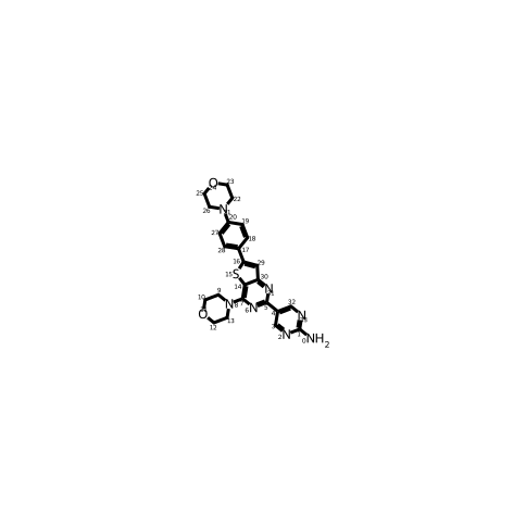 Nc1ncc(-c2nc(N3CCOCC3)c3sc(-c4ccc(N5CCOCC5)cc4)cc3n2)cn1